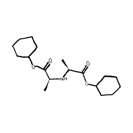 C[C@H](N[C@@H](C)C(=O)OC1CCCCC1)C(=O)OC1CCCCC1